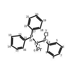 CC(C)N(P(Cl)c1ccccc1)P(c1ccccc1)c1ccccc1